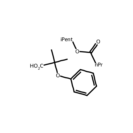 CC(C)(Oc1ccccc1)C(=O)O.CCCC(=O)OC(C)CCC